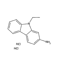 CCn1c2ccccc2c2ccc(N)cc21.Cl.Cl